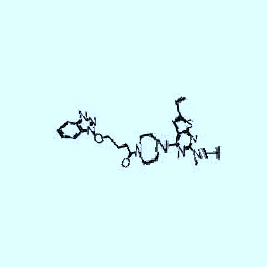 CCc1cc2c(N3CCN(C(=O)CCCOn4nnc5ccccc54)CC3)nc(NC)nc2s1